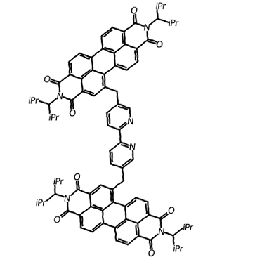 CC(C)C(C(C)C)N1C(=O)c2ccc3c4ccc5c6c(cc(Cc7ccc(-c8ccc(Cc9cc%10c%11c(ccc%12c%13ccc%14c%15c(ccc(c9c%11%12)c%15%13)C(=O)N(C(C(C)C)C(C)C)C%14=O)C(=O)N(C(C(C)C)C(C)C)C%10=O)cn8)nc7)c(c7ccc(c2c37)C1=O)c64)C(=O)N(C(C(C)C)C(C)C)C5=O